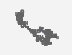 C=C/C(Br)=C\C=C(/C)CN1c2nc(Nc3ccc(C(=O)NCCOCCNCCCCCCC(=O)Nc4cccc5c4CN(C4CCC(=O)NC4=O)C5=O)cc3OC)ncc2N(C)C(=O)[C@H]1CC